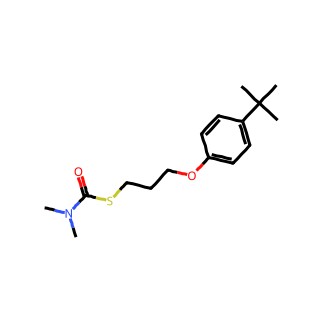 CN(C)C(=O)SCCCOc1ccc(C(C)(C)C)cc1